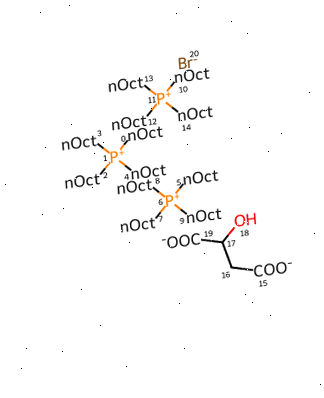 CCCCCCCC[P+](CCCCCCCC)(CCCCCCCC)CCCCCCCC.CCCCCCCC[P+](CCCCCCCC)(CCCCCCCC)CCCCCCCC.CCCCCCCC[P+](CCCCCCCC)(CCCCCCCC)CCCCCCCC.O=C([O-])CC(O)C(=O)[O-].[Br-]